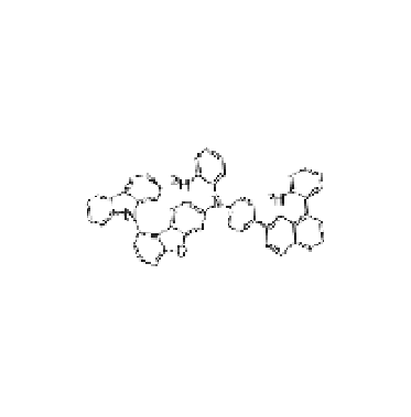 [2H]c1ccccc1-c1cccc2ccc(-c3ccc(N(c4ccc5c(c4)oc4cccc(-n6c7ccccc7c7ccccc76)c45)c4ccccc4[2H])cc3)cc12